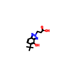 CC(C)(C)c1ccc2nn(CCC(=O)O)nc2c1O